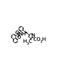 Cc1cc(C#Cc2ccccc2NS(=O)(=O)c2cccc3ccccc23)cnc1C(=O)O